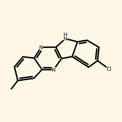 Cc1ccc2nc3[nH]c4ccc(Cl)cc4c3nc2c1